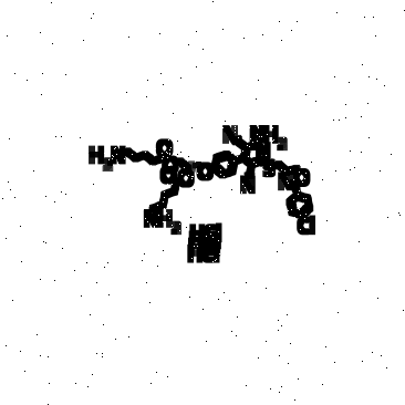 Cl.Cl.Cl.Cl.N#Cc1c(N)nc(SCc2coc(-c3ccc(Cl)cc3)n2)c(C#N)c1-c1ccc(OC[C@@H](COC(=O)CCCCN)OC(=O)CCCCN)cc1